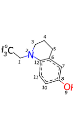 CCN1CCCc2cc(O)ccc21